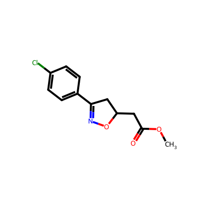 COC(=O)CC1CC(c2ccc(Cl)cc2)=NO1